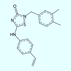 C=Cc1ccc(Nc2nc(=O)n(Cc3ccc(C)c(C)c3)s2)cc1